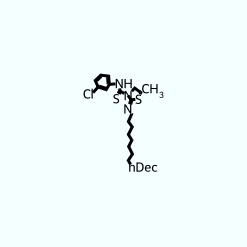 CCCCCCCCCCCCCCCCCCN=C1SC(C)CN1C(=S)Nc1cccc(Cl)c1